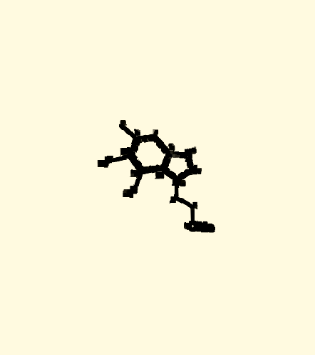 COCCn1nnc2cc(C)c(F)c(F)c21